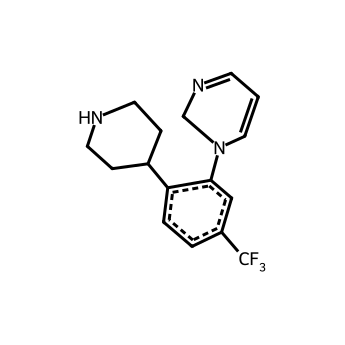 FC(F)(F)c1ccc(C2CCNCC2)c(N2C=CC=NC2)c1